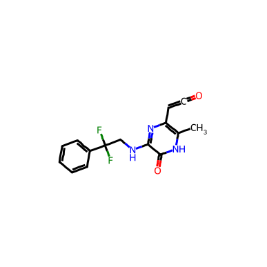 Cc1[nH]c(=O)c(NCC(F)(F)c2ccccc2)nc1C=C=O